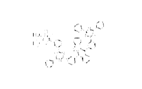 CC1(C)OB(c2cccc(-c3nc(-c4ccccc4)nc(-c4cccc(-c5c6ccccc6c(-c6cccc(-c7nc(-c8ccccc8)nc(-c8ccccc8)n7)c6)c6c5sc5ccccc56)c4)n3)c2)OC1(C)C